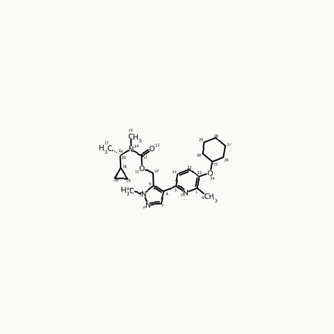 Cc1nc(-c2cnn(C)c2COC(=O)N(C)[C@@H](C)C2CC2)ccc1OC1CCCCC1